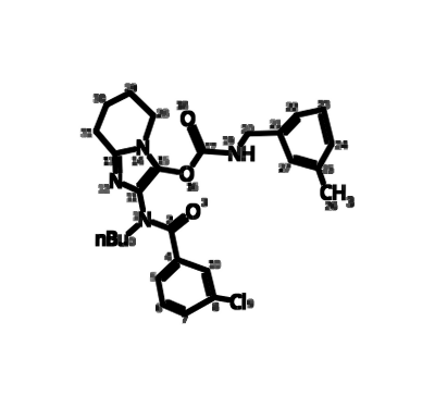 CCCCN(C(=O)c1cccc(Cl)c1)c1nc2n(c1OC(=O)NCc1cccc(C)c1)CCCC2